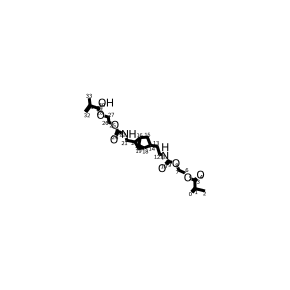 C=C(C)C(=O)OCCOC(=O)NCCC1CC2CC1CC2CNC(=O)OCCOC(O)C(=C)C